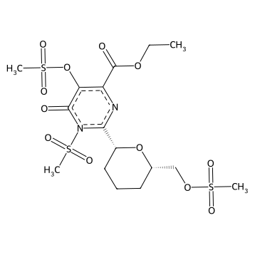 CCOC(=O)c1nc([C@H]2CCC[C@@H](COS(C)(=O)=O)O2)n(S(C)(=O)=O)c(=O)c1OS(C)(=O)=O